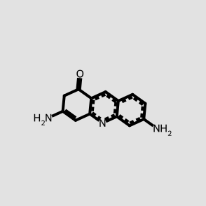 NC1=Cc2nc3cc(N)ccc3cc2C(=O)C1